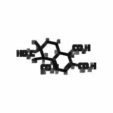 CC1(C(=O)O)CCC2C(=CC=C(C(=O)O)C2C(=O)O)C1(C)C(=O)O